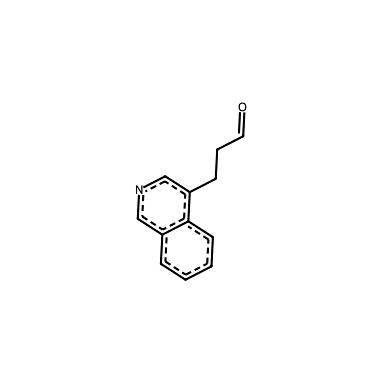 O=CCCc1cncc2ccccc12